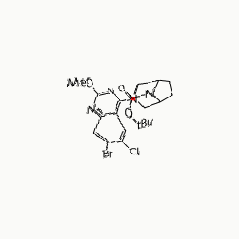 COc1nc(N2CC3CCC(C2)N3C(=O)OC(C)(C)C)c2cc(Cl)c(Br)cc2n1